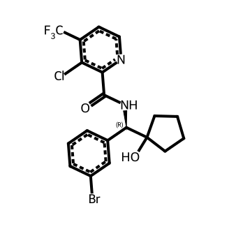 O=C(N[C@H](c1cccc(Br)c1)C1(O)CCCC1)c1nccc(C(F)(F)F)c1Cl